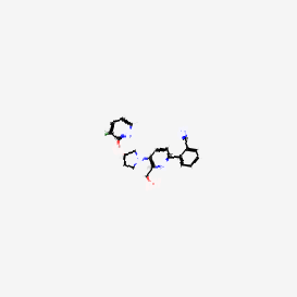 N#Cc1ccccc1-c1ccc(N2CC[C@H](Oc3ncccc3F)C2)c(CO)n1